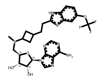 CN(C[C@H]1O[C@@H](n2cnc3c(N)ncnc32)[C@H](O)[C@@H]1O)C1CC(CCc2nc3cc(OC(F)(F)F)ccc3[nH]2)C1